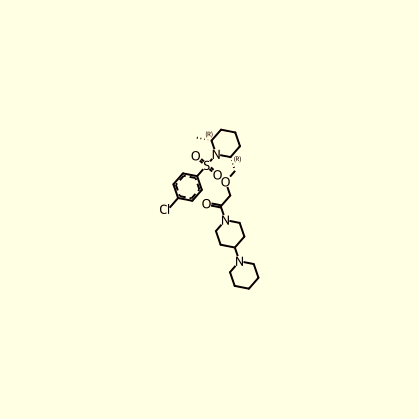 C[C@@H]1CCC[C@H](COCC(=O)N2CCC(N3CCCCC3)CC2)N1S(=O)(=O)c1ccc(Cl)cc1